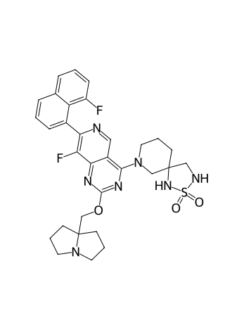 O=S1(=O)NCC2(CCCN(c3nc(OCC45CCCN4CCC5)nc4c(F)c(-c5cccc6cccc(F)c56)ncc34)C2)N1